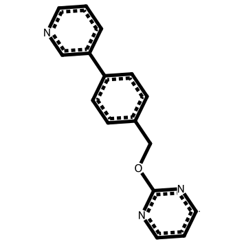 [c]1ccnc(OCc2ccc(-c3cccnc3)cc2)n1